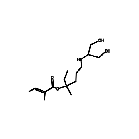 C/C=C(\C)C(=O)OC(C)(CC)CCCNC(CO)CO